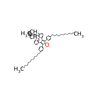 CCCCCCCCCCCCc1ccc(C2=C(c3ccccc3)C(c3cccc(C#C[Si](C)(C)C)c3)=C(c3ccc(CCCCCCCCCCCC)cc3)C2=O)cc1